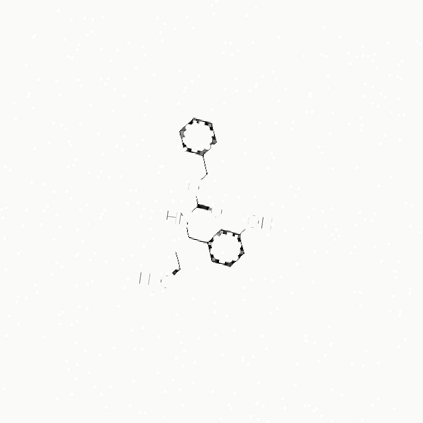 C=CC[C@H](NC(=O)OCc1ccccc1)c1cccc(O)c1